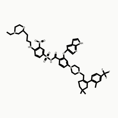 CCN1CCOC(CCCNc2ccc(S(=O)(=O)NC(=O)c3ccc(N4CCN(CC5=C(c6ccc(C(F)(F)F)cc6C)CC(C)(C)CC5)CC4)cc3Oc3cnc4[nH]ccc4c3)cc2[N+](=O)[O-])C1